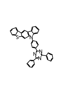 c1ccc(-c2nc(-c3ccccc3)nc(-c3ccc(-n4c5ccccc5c5cc6c(cc54)sc4ccccc46)cc3)n2)cc1